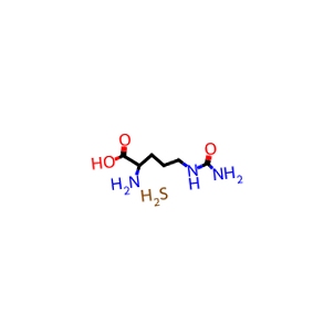 NC(=O)NCCCC(N)C(=O)O.S